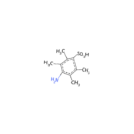 Cc1c(C)c(S(=O)(=O)O)c(C)c(C)c1N